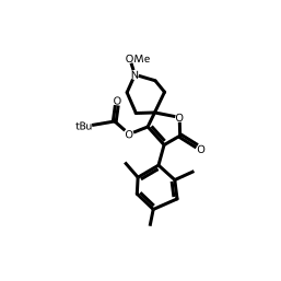 CON1CCC2(CC1)OC(=O)C(c1c(C)cc(C)cc1C)=C2OC(=O)C(C)(C)C